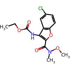 CCOC(=O)Nc1c(C(=O)N(C)OC)oc2ccc(Cl)cc12